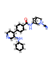 N#CN1CC2CC(NC(=O)c3ccc(-c4ccncc4Nc4ccccc4)cc3)C1C2